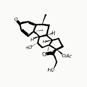 CC(=O)O[C@]1(C(=O)CO)CC[C@H]2[C@@H]3C[C@H](C)C4=CC(=O)C=C[C@]4(C)[C@H]3[C@@H](O)C[C@@]21C